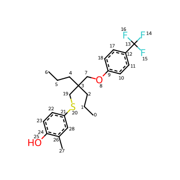 CCCC(CCC)(COc1ccc(C(F)(F)F)cc1)CSc1ccc(O)c(C)c1